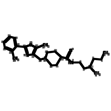 CCCN(C)CCNC(=O)C1CCN(Cc2nc(-c3ccccc3C)oc2C)CC1